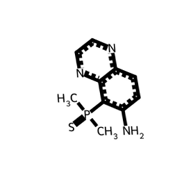 CP(C)(=S)c1c(N)ccc2nccnc12